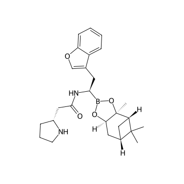 CC1(C)[C@@H]2C[C@H]3OB([C@H](Cc4coc5ccccc45)NC(=O)C[C@H]4CCCN4)O[C@@]3(C)[C@H]1C2